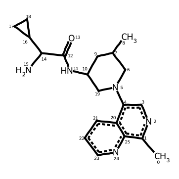 Cc1ncc(N2CC(C)CC(NC(=O)C(N)C3CC3)C2)c2cccnc12